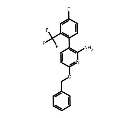 Nc1nc(OCc2ccccc2)ccc1-c1ccc(F)cc1C(F)(F)F